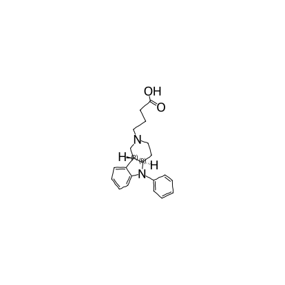 O=C(O)CCCN1CC[C@@H]2[C@@H](C1)c1ccccc1N2c1ccccc1